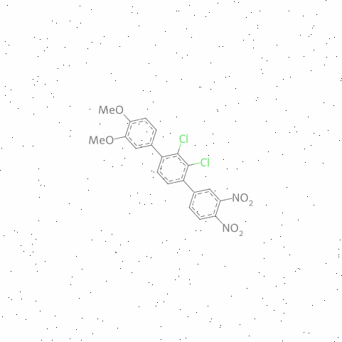 COc1ccc(-c2[c]cc(-c3ccc([N+](=O)[O-])c([N+](=O)[O-])c3)c(Cl)c2Cl)cc1OC